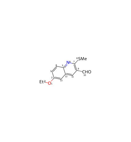 CCOc1ccc2nc(SC)c(C=O)cc2c1